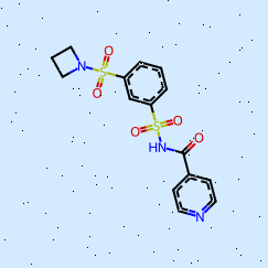 O=C(NS(=O)(=O)c1cccc(S(=O)(=O)N2CCC2)c1)c1ccncc1